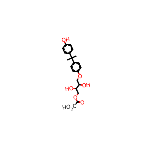 CC(C)(c1ccc(O)cc1)c1ccc(OCC(O)C(O)COC(=O)C(=O)O)cc1